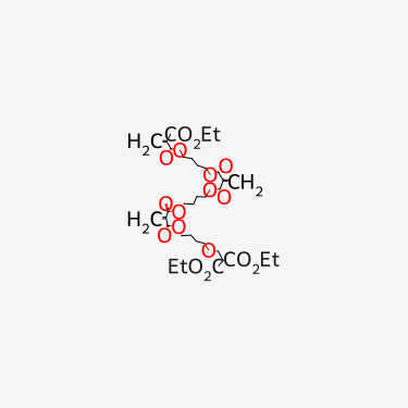 C=C(C(=O)OCC)C(=O)OCCCCOC(=O)C(=C)C(=O)OCCCCOC(=O)C(=C)C(=O)OCCCCOCC(C(=O)OCC)C(=O)OCC